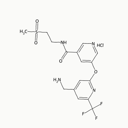 CS(=O)(=O)CCNC(=O)c1cncc(Oc2cc(CN)cc(C(F)(F)F)n2)c1.Cl